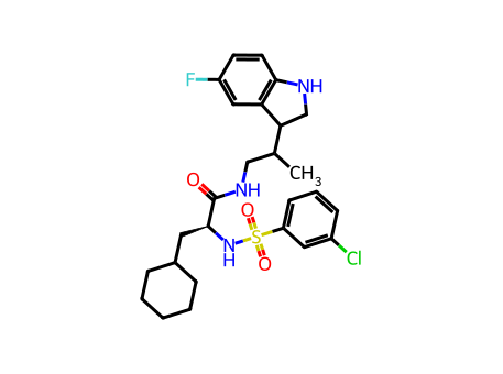 CC(CNC(=O)[C@H](CC1CCCCC1)NS(=O)(=O)c1cccc(Cl)c1)C1CNc2ccc(F)cc21